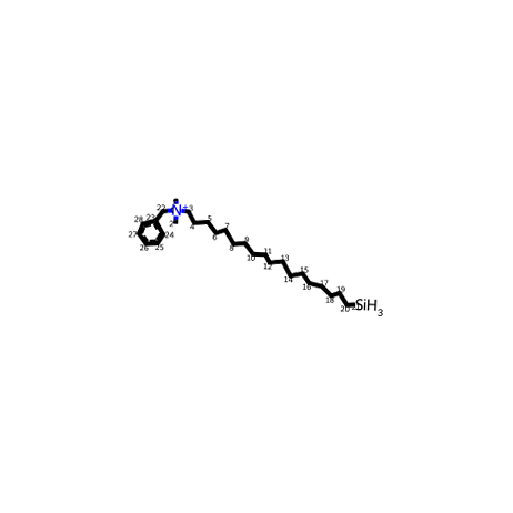 C[N+](C)(CCCCCCCCCCCCCCCCCC[SiH3])Cc1ccccc1